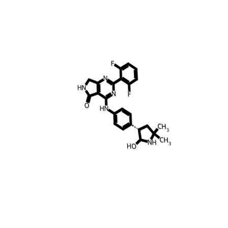 CC1(C)C[C@@H](c2ccc(Nc3nc(-c4c(F)cccc4F)nc4c3C(=O)NC4)cc2)C(O)N1